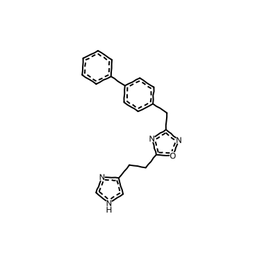 c1ccc(-c2ccc(Cc3noc(CCc4c[nH]cn4)n3)cc2)cc1